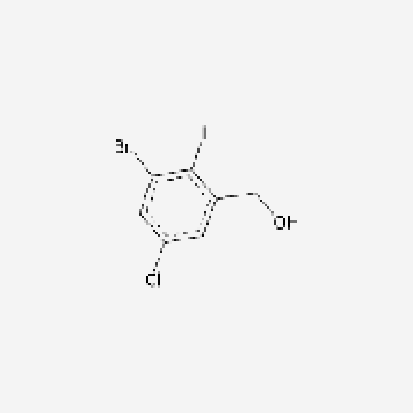 OCc1cc(Cl)cc(Br)c1I